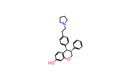 Oc1ccc2c(c1)OC[C@H](c1ccccc1)[C@@H]2c1ccc(CCN2CCCC2)cc1